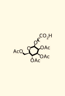 CC(=O)OC[C@H]1O[C@@H](OCC(=O)O)[C@@H](OC(C)=O)[C@@H](OC(C)=O)[C@@H]1OC(C)=O